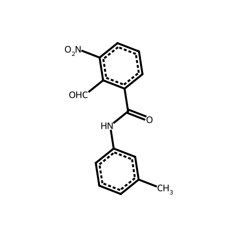 Cc1cccc(NC(=O)c2cccc([N+](=O)[O-])c2C=O)c1